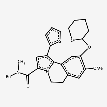 COc1cc2c(cc1OC1CCCCO1)-c1c(-c3cccs3)cc(C(=O)N(C)C(C)(C)C)n1CC2